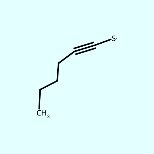 CCCCC#C[S]